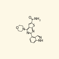 NC(=O)c1cc2c(N3CCOCC3)nc(-c3cccc4[nH]ncc34)nc2s1